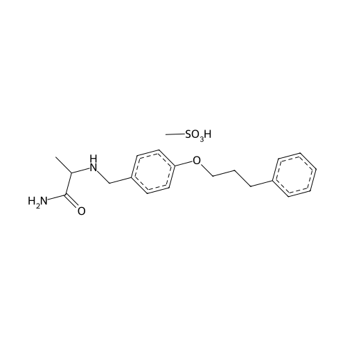 CC(NCc1ccc(OCCCc2ccccc2)cc1)C(N)=O.CS(=O)(=O)O